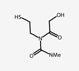 CNC(=O)N(CCS)C(=O)CO